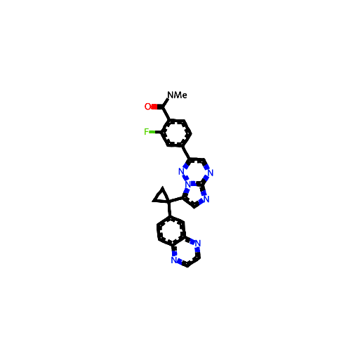 CNC(=O)c1ccc(-c2cnc3ncc(C4(c5ccc6nccnc6c5)CC4)n3n2)cc1F